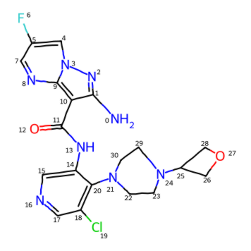 Nc1nn2cc(F)cnc2c1C(=O)Nc1cncc(Cl)c1N1CCN(C2COC2)CC1